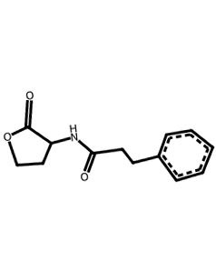 O=C(CCc1ccccc1)NC1CCOC1=O